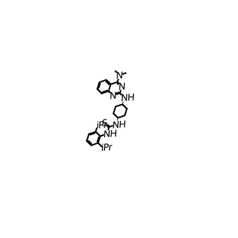 CC(C)c1cccc(C(C)C)c1NC(=S)N[C@H]1CC[C@@H](Nc2nc(N(C)C)c3ccccc3n2)CC1